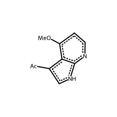 COc1ccnc2[nH]cc(C(C)=O)c12